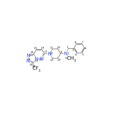 CN(Cc1ccccc1)C1CCN(c2ccc3nnc(C(F)(F)F)n3n2)CC1